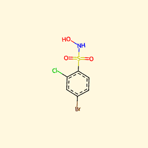 O=S(=O)(NO)c1ccc(Br)cc1Cl